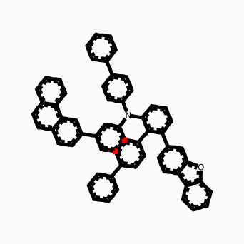 c1ccc(-c2ccc(-c3c(-c4ccc5c(c4)oc4ccccc45)cccc3N(c3ccc(-c4ccccc4)cc3)c3cccc(-c4ccc5ccc6ccccc6c5c4)c3)cc2)cc1